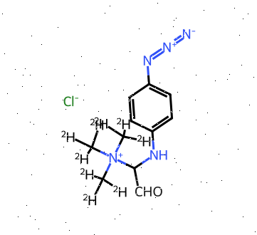 [2H]C([2H])([2H])[N+](C(C=O)Nc1ccc(N=[N+]=[N-])cc1)(C([2H])([2H])[2H])C([2H])([2H])[2H].[Cl-]